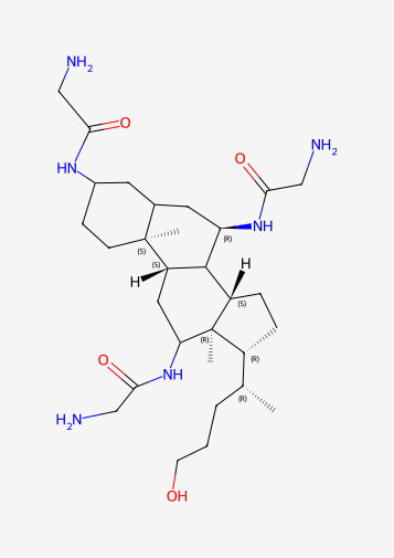 C[C@H](CCCO)[C@H]1CC[C@H]2C3[C@H](NC(=O)CN)CC4CC(NC(=O)CN)CC[C@]4(C)[C@H]3CC(NC(=O)CN)[C@]12C